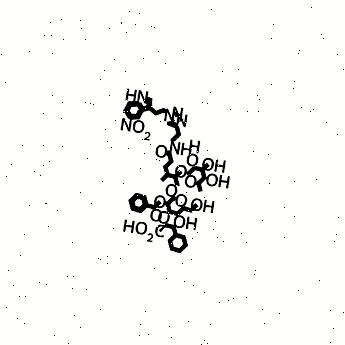 CC(CCC(=O)NCCc1cn(CCc2c[nH]c3ccc([N+](=O)[O-])cc23)nn1)C(CO[C@@H]1OC(CO)[C@H](O)C(O[C@@H](CC2CCCCC2)C(=O)O)C1OC(=O)c1ccccc1)O[C@@H]1OC(C)[C@@H](O)C(O)C1O